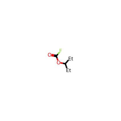 CCC(CC)OC(=O)F